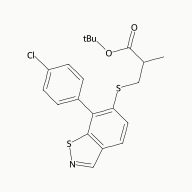 CC(CSc1ccc2cnsc2c1-c1ccc(Cl)cc1)C(=O)OC(C)(C)C